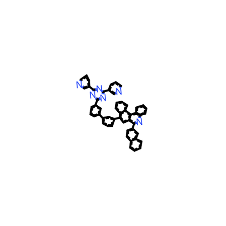 c1cncc(-c2nc(-c3cccnc3)nc(-c3cccc(-c4cccc(-c5cc6c(-c7ccc8ccccc8c7)nc7ccccc7c6c6ccccc56)c4)c3)n2)c1